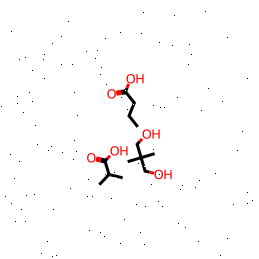 CC(C)(CO)CO.CC(C)C(=O)O.CCCC(=O)O